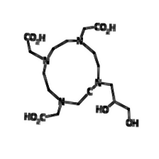 O=C(O)CN1CCN(CC(=O)O)CCN(CC(O)CO)CCN(CC(=O)O)CC1